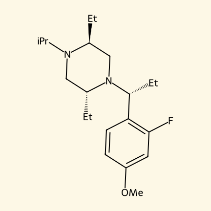 CC[C@H]1CN([C@H](CC)c2ccc(OC)cc2F)[C@H](CC)CN1C(C)C